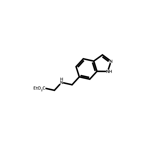 CCOC(=O)CNCc1ccc2cn[nH]c2c1